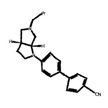 CC(C)CN1C[C@H]2CCN(c3ccc(-c4ccc(C#N)cc4)cc3)[C@H]2C1